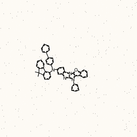 CC1(C)c2ccccc2-c2c(N(c3ccc(-c4ccccc4)cc3)c3ccc4c(c3)nc3n(-c5ccccc5)c5c6ccccc6oc5n43)cccc21